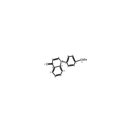 COc1ccc(-n2ccc(=O)c3ccccc32)cc1